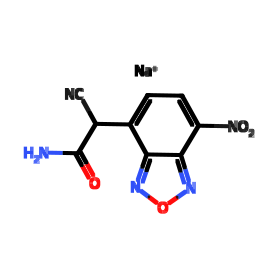 N#CC(C(N)=O)c1ccc([N+](=O)[O-])c2nonc12.[Na+]